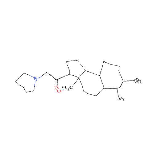 CCCC1CCC2C(CCC3(C)C(C(=O)CN4CCCC4)CCC23)C1CCC